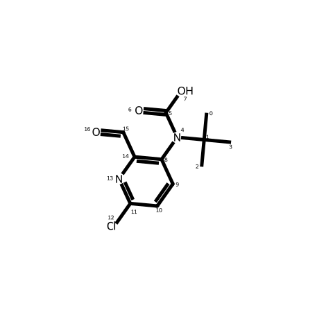 CC(C)(C)N(C(=O)O)c1ccc(Cl)nc1C=O